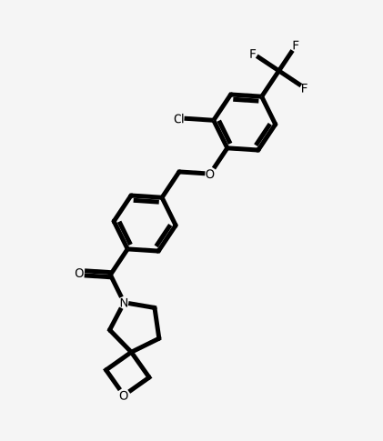 O=C(c1ccc(COc2ccc(C(F)(F)F)cc2Cl)cc1)N1CCC2(COC2)C1